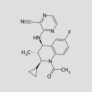 CC(=O)N1c2ccc(F)cc2[C@H](Nc2nccnc2C#N)[C@@H](C)[C@@H]1C1CC1